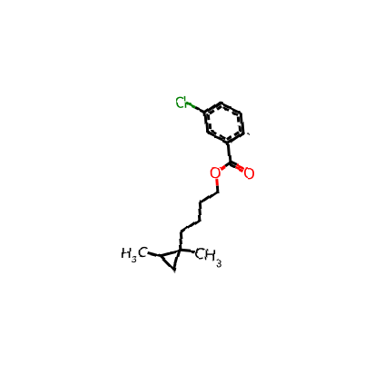 CC1CC1(C)CCCCOC(=O)c1[c]ccc(Cl)c1